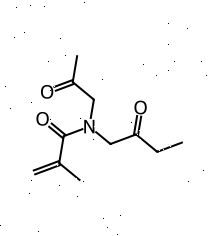 C=C(C)C(=O)N(CC(C)=O)CC(=O)CC